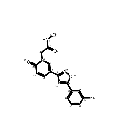 CCNC(=O)Cn1cc(-c2noc(-c3cccc(F)c3)n2)ccc1=O